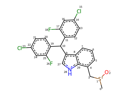 C[S+]([O-])Cc1cccc2c(C(c3ccc(Cl)cc3F)c3ccc(Cl)cc3F)c[nH]c12